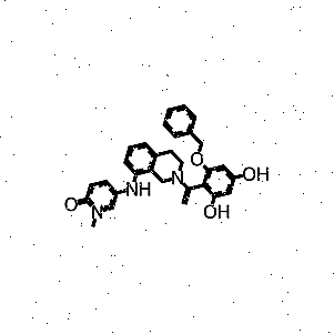 C=C(c1c(O)cc(O)cc1OCc1ccccc1)N1CCc2cccc(Nc3ccc(=O)n(C)c3)c2C1